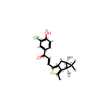 Cc1sc(C=CC(=O)c2ccc(O)c(Cl)c2)c2c1[C@H]1[C@@H](C2)C1(C)C